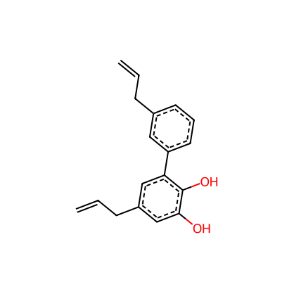 C=CCc1cccc(-c2cc(CC=C)cc(O)c2O)c1